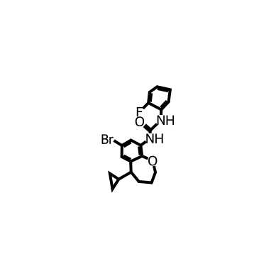 O=C(Nc1ccccc1F)Nc1cc(Br)cc2c1OCCCC2C1CC1